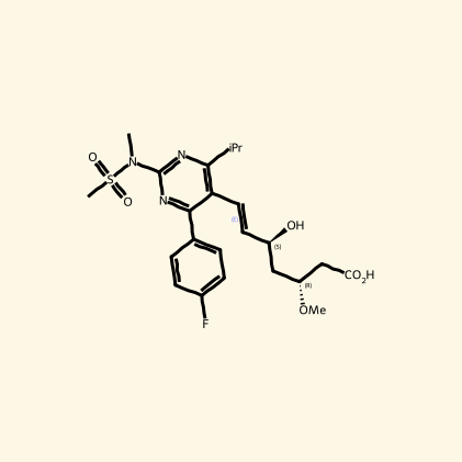 CO[C@@H](CC(=O)O)C[C@H](O)/C=C/c1c(-c2ccc(F)cc2)nc(N(C)S(C)(=O)=O)nc1C(C)C